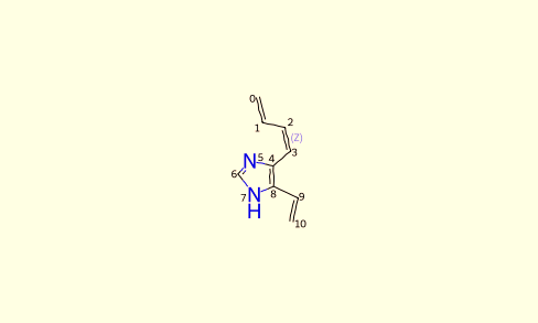 C=C/C=C\c1nc[nH]c1C=C